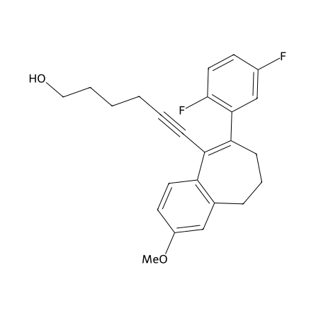 COc1ccc2c(c1)CCCC(c1cc(F)ccc1F)=C2C#CCCCCO